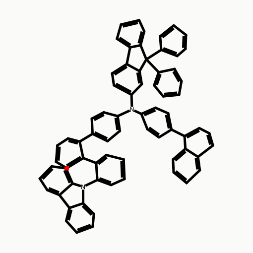 c1ccc(C2(c3ccccc3)c3ccccc3-c3ccc(N(c4ccc(-c5ccccc5-c5ccccc5-n5c6ccccc6c6ccccc65)cc4)c4ccc(-c5cccc6ccccc56)cc4)cc32)cc1